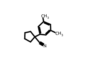 Cc1cc(C)cc(C2(C#N)CCCC2)c1